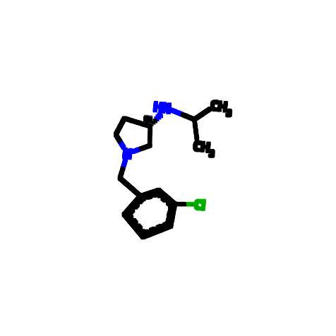 CC(C)N[C@H]1CCN(Cc2cccc(Cl)c2)C1